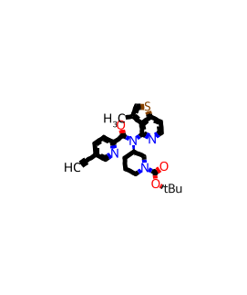 C#Cc1ccc(C(=O)N(c2nccc3scc(C)c23)[C@@H]2CCCN(C(=O)OC(C)(C)C)C2)nc1